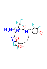 COc1ccc(CN2CCCCC[C@](O)(C(F)(F)F)c3nnc(o3)-c3nc(c(C(F)(F)F)cc3N)C2=O)c(F)c1F